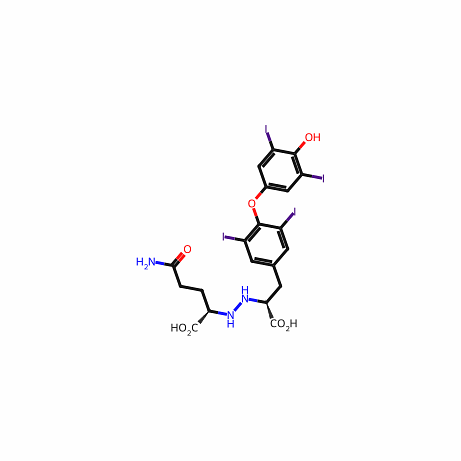 NC(=O)CC[C@@H](NN[C@@H](Cc1cc(I)c(Oc2cc(I)c(O)c(I)c2)c(I)c1)C(=O)O)C(=O)O